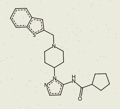 O=C(Nc1ccnn1C1CCN(Cc2cc3ccccc3s2)CC1)C1CCCC1